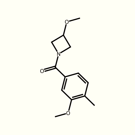 COc1cc(C(=O)N2CC(OC)C2)ccc1C